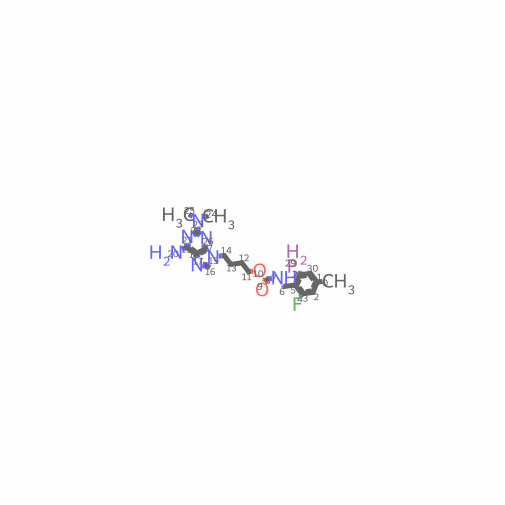 Cc1cc(F)c(CNC(=O)OCCCCn2cnc3c(N)nc(N(C)C)nc32)c(P)c1